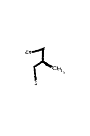 [CH2]CCC(C)C[S]